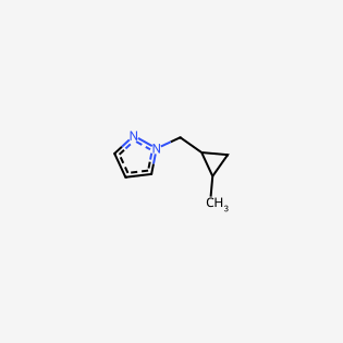 CC1CC1Cn1cccn1